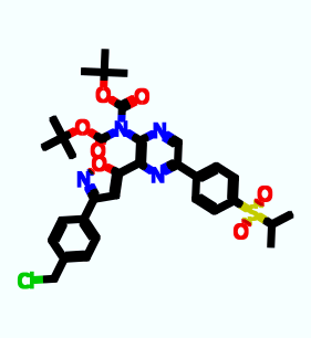 CC(C)S(=O)(=O)c1ccc(-c2cnc(N(C(=O)OC(C)(C)C)C(=O)OC(C)(C)C)c(-c3cc(-c4ccc(CCl)cc4)no3)n2)cc1